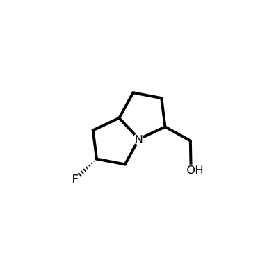 OCC1CCC2C[C@@H](F)CN12